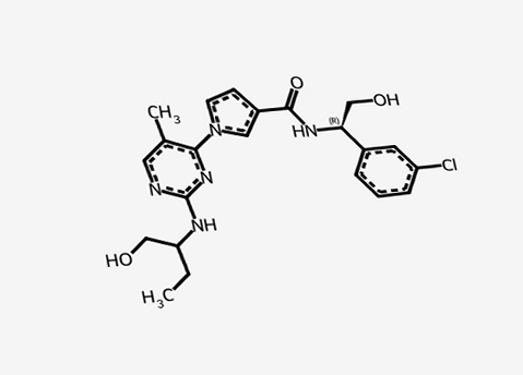 CCC(CO)Nc1ncc(C)c(-n2ccc(C(=O)N[C@@H](CO)c3cccc(Cl)c3)c2)n1